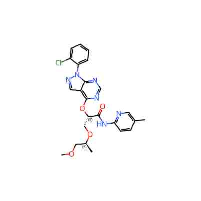 COC[C@H](C)OC[C@H](Oc1ncnc2c1cnn2-c1ccccc1Cl)C(=O)Nc1ccc(C)cn1